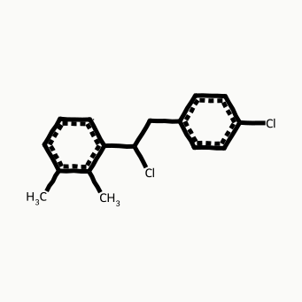 Cc1cc[c]c(C(Cl)Cc2ccc(Cl)cc2)c1C